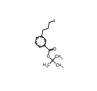 CC(C)(C)OC(=O)c1cccc(CCCI)c1